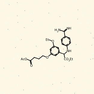 CCOC(=O)C(Nc1ccc(C(=N)N)cc1)c1cc(OCC)cc(OCCCC(=O)OC(C)=O)c1